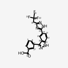 O=C(O)c1cccc(-c2n[nH]c3ccc(-c4nc(CC(F)(F)F)n[nH]4)cc23)c1